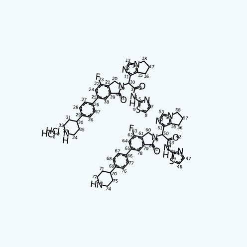 Cl.Cl.O=C(Nc1nccs1)C(c1ncn2c1CCC2)N1Cc2c(F)cc(-c3ccc(C4CCNCC4)cc3)cc2C1=O.O=C(Nc1nccs1)C(c1ncn2c1CCC2)N1Cc2c(F)cc(-c3ccc(C4CCNCC4)cc3)cc2C1=O